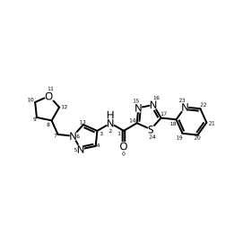 O=C(Nc1cnn(CC2CCOC2)c1)c1nnc(-c2ccccn2)s1